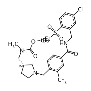 CCS(=O)(=O)c1ccc(Cl)cc1CNC(=O)c1ccc(CN2CC[C@H](CN(C)C(=O)OC(C)(C)C)C2)c(C(F)(F)F)c1